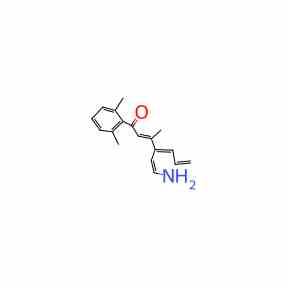 C=C/C=C(\C=C/N)C(/C)=C/C(=O)c1c(C)cccc1C